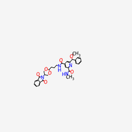 CNC(=O)c1cc(C(=O)NCCCC2OCC(N3C(=O)c4ccccc4C3=O)CO2)cc(C(OC)c2ccccc2)n1